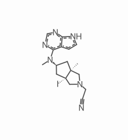 CN(c1ncnc2[nH]ccc12)[C@H]1C[C@@]2(C)CN(CC#N)C[C@@]2(I)C1